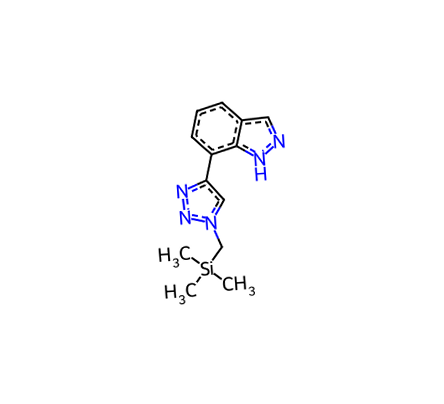 C[Si](C)(C)Cn1cc(-c2cccc3cn[nH]c23)nn1